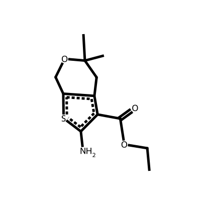 CCOC(=O)c1c(N)sc2c1CC(C)(C)OC2